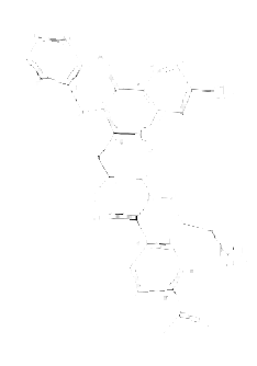 CC(=O)c1ccc(C(=O)N(CCCN)CC(C)Cc2oc3cc(Cl)ccc3c(=O)c2Cc2ccccc2)cc1